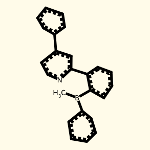 CB(c1ccccc1)c1ccccc1-c1cc(-c2ccccc2)ccn1